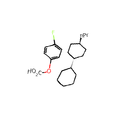 CCC[C@H]1CC[C@H](C2CCCCC2)CC1.O=C(O)Oc1ccc(F)cc1